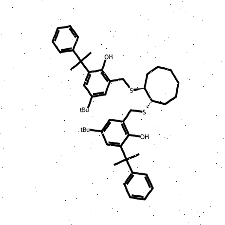 CC(C)(C)c1cc(CS[C@H]2CCCCCC[C@@H]2SCc2cc(C(C)(C)C)cc(C(C)(C)c3ccccc3)c2O)c(O)c(C(C)(C)c2ccccc2)c1